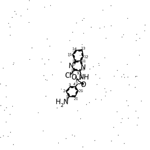 Nc1ccc(S(=O)(=O)Nc2nc3ccccc3nc2Cl)cc1